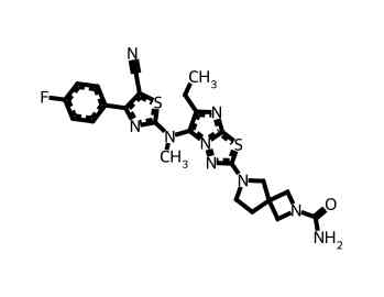 CCc1nc2sc(N3CCC4(CN(C(N)=O)C4)C3)nn2c1N(C)c1nc(-c2ccc(F)cc2)c(C#N)s1